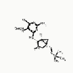 CC(C)(C)[Si](C)(C)OC[C@]12C[C@@H](F)[C@H](Nc3nc(N)nc(Cl)c3NC=O)[C@H]1C2